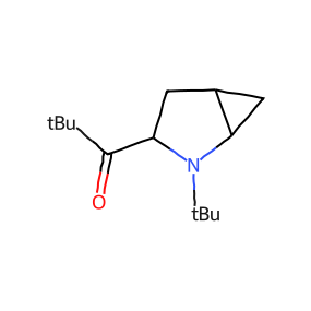 CC(C)(C)C(=O)C1CC2CC2N1C(C)(C)C